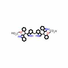 O=C(O)COc1ccccc1C(c1c[nH]c2ccccc12)c1c[nH]c2c(Cc3cccc4c(C(c5ccccc5OCC(=O)O)c5c[nH]c6ccccc56)c[nH]c34)cccc12